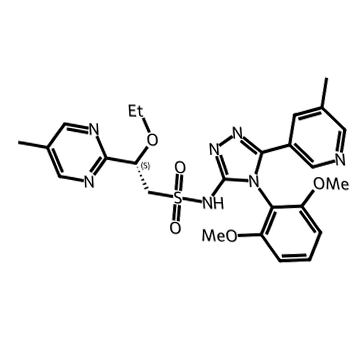 CCO[C@H](CS(=O)(=O)Nc1nnc(-c2cncc(C)c2)n1-c1c(OC)cccc1OC)c1ncc(C)cn1